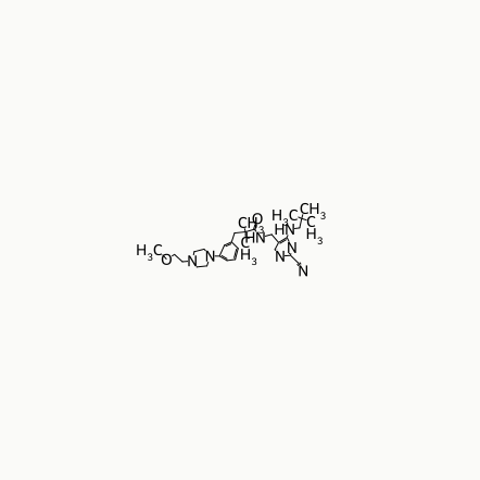 COCCN1CCN(c2cccc(CC(C)(C)C(=O)NCc3cnc(C#N)nc3NCC(C)(C)C)c2)CC1